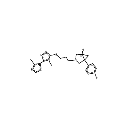 Cc1ncoc1-c1nnc(SCCCN2C[C@@H]3CC3(c3ccc(F)cc3)C2)n1C